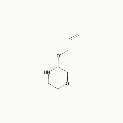 C=CCOC1COCCN1